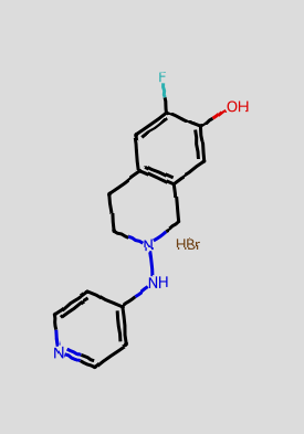 Br.Oc1cc2c(cc1F)CCN(Nc1ccncc1)C2